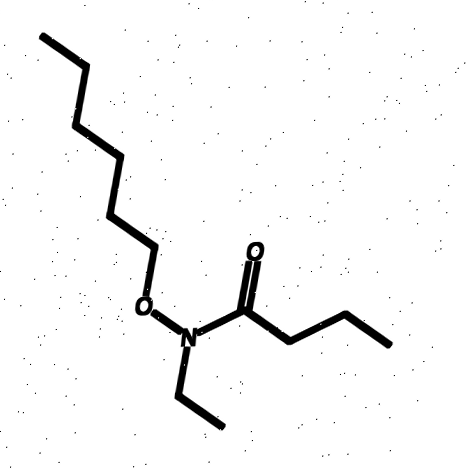 CCCCCCON(CC)C(=O)CCC